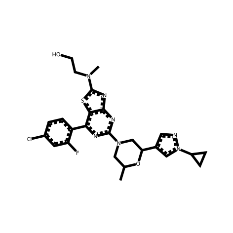 CC1CN(c2nc(-c3ccc(Cl)cc3F)c3sc(N(C)CCO)nc3n2)CC(c2cnn(C3CC3)c2)O1